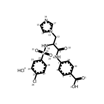 Cl.O=C(O)c1ccc(NC(=O)C(Cn2ccnc2)NS(=O)(=O)c2ccc(Cl)cc2)cc1